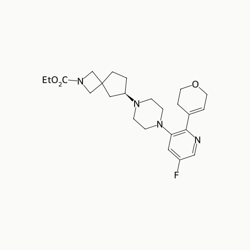 CCOC(=O)N1CC2(CC[C@@H](N3CCN(c4cc(F)cnc4C4=CCOCC4)CC3)C2)C1